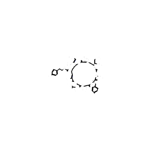 C/C=C(\C)[C@H]1OC(=O)[C@@H](C)NC(=O)[C@H](C(C)CC)NC(=O)CN(C)C(=O)[C@@H](Cc2ccc(Cl)cc2)N(C)C(=O)[C@H](C)NC(=O)[C@@H](CC(C)C)OC(=O)/C(C)=C/C[C@H](OC(=O)NCCc2ccc(O)cc2)[C@@H]1C